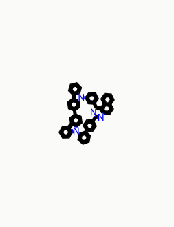 c1ccc(-c2nc(-c3cccc(-n4c5ccccc5c5ccc(-c6ccc7c(c6)c6ccccc6n7-c6ccccc6)cc54)c3)c3c(ccc4ccccc43)n2)cc1